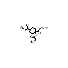 C=CC(=O)OC1(C(=O)OCCCCCCCCC)CCC(C(=O)OC(C)C)CC1